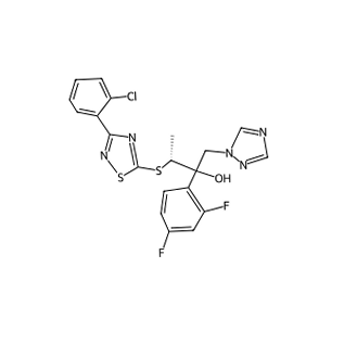 C[C@@H](Sc1nc(-c2ccccc2Cl)ns1)C(O)(Cn1cncn1)c1ccc(F)cc1F